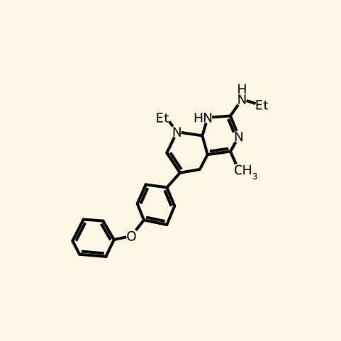 CCNC1=NC(C)=C2CC(c3ccc(Oc4ccccc4)cc3)=CN(CC)C2N1